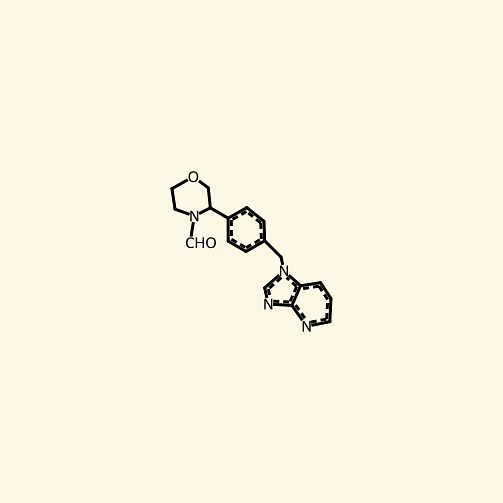 O=CN1CCOCC1c1ccc(Cn2cnc3ncccc32)cc1